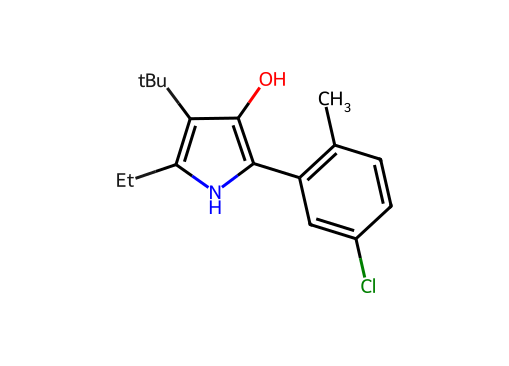 CCc1[nH]c(-c2cc(Cl)ccc2C)c(O)c1C(C)(C)C